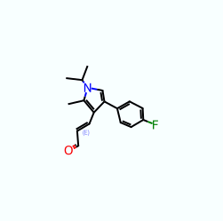 Cc1c(/C=C/C=O)c(-c2ccc(F)cc2)cn1C(C)C